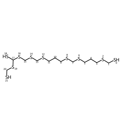 SCSCCCSCSCCCSCSCSC(S)SCS